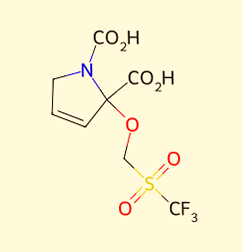 O=C(O)N1CC=CC1(OCS(=O)(=O)C(F)(F)F)C(=O)O